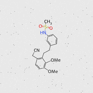 COc1ccc(CC#N)c(CCc2cccc(NS(C)(=O)=O)c2)c1OC